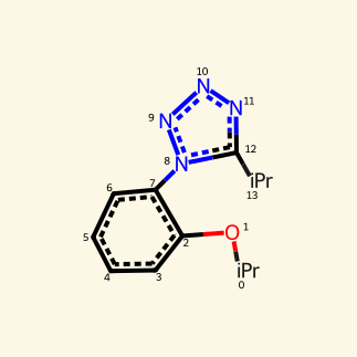 CC(C)Oc1ccccc1-n1nnnc1C(C)C